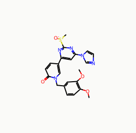 COc1ccc(Cn2cc(-c3cc(-n4ccnc4)nc([S+](C)[O-])n3)ccc2=O)cc1OC